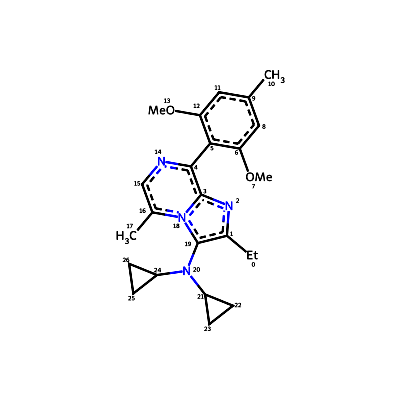 CCc1nc2c(-c3c(OC)cc(C)cc3OC)ncc(C)n2c1N(C1CC1)C1CC1